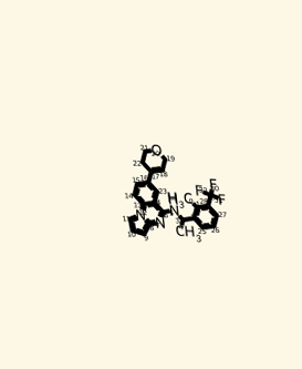 Cc1c(C(C)Nc2nc3cccn3c3ccc(C4=CCOCC4)cc23)cccc1C(F)(F)F